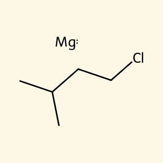 CC(C)CCCl.[Mg]